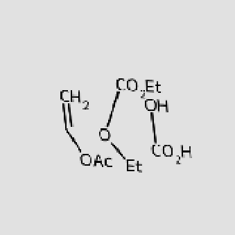 C=COC(C)=O.CCOC(=O)OCC.O=C(O)O